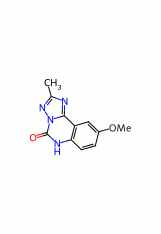 COc1ccc2[nH]c(=O)n3nc(C)nc3c2c1